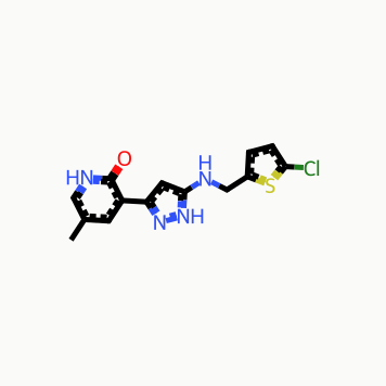 Cc1c[nH]c(=O)c(-c2cc(NCc3ccc(Cl)s3)[nH]n2)c1